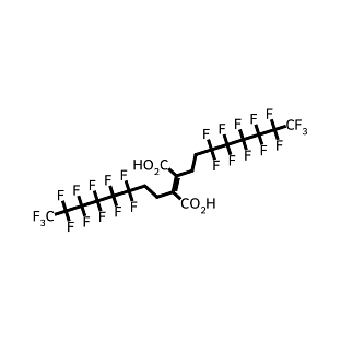 O=C(O)/C(CCC(F)(F)C(F)(F)C(F)(F)C(F)(F)C(F)(F)C(F)(F)F)=C(\CCC(F)(F)C(F)(F)C(F)(F)C(F)(F)C(F)(F)C(F)(F)F)C(=O)O